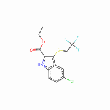 CCOC(=O)c1[nH]c2ccc(Cl)cc2c1SCC(F)(F)F